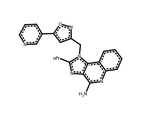 CCCc1nc2c(N)nc3ccccc3c2n1Cc1cc(-c2cccnc2)on1